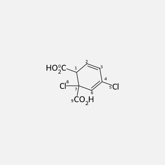 O=C(O)C1C=CC(Cl)=CC1(Cl)C(=O)O